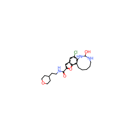 O=C(NCCC1CCOCC1)c1cc2cc(Cl)c3c(c2o1)CCCCCNC(O)N3